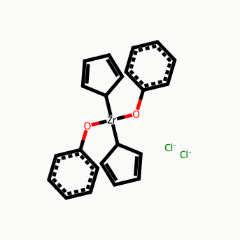 C1=C[CH]([Zr]([O]c2ccccc2)([O]c2ccccc2)[CH]2C=CC=C2)C=C1.[Cl-].[Cl-]